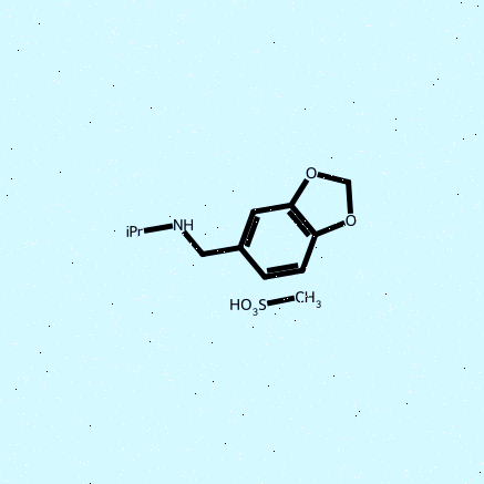 CC(C)NCc1ccc2c(c1)OCO2.CS(=O)(=O)O